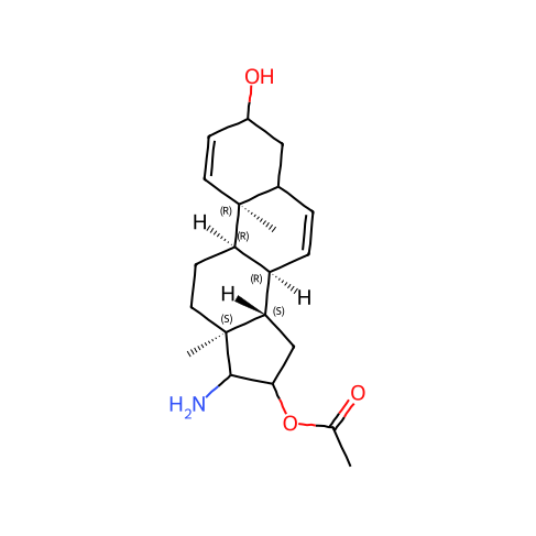 CC(=O)OC1C[C@H]2[C@@H]3C=CC4CC(O)C=C[C@]4(C)[C@@H]3CC[C@]2(C)C1N